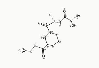 CC(C)[C@H](O)C(=O)N[C@@H](C)C(=O)N1CCCC(C(=O)OCC(Cl)(Cl)Cl)N1